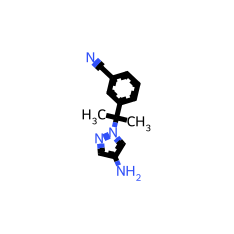 CC(C)(c1cccc(C#N)c1)n1cc(N)cn1